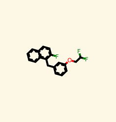 Fc1ccc2ccccc2c1Cc1cccc(OCC(F)F)c1